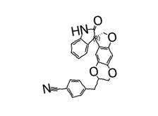 N#Cc1ccc(CC2COc3cc4c(cc3O2)[C@]2(CO4)C(=O)Nc3ccccc32)cc1